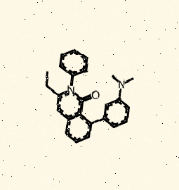 CCc1cc2cccc(-c3cccc(N(C)C)c3)c2c(=O)n1-c1ccccc1